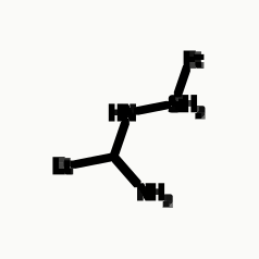 CC[SiH2]NC(N)CC